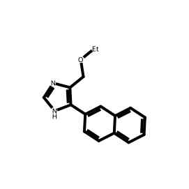 CCOCc1nc[nH]c1-c1ccc2ccccc2c1